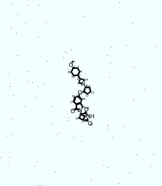 COC1CCC(C2CN([C@@H]3CCC[C@@H]3Oc3ccc4c(c3)CN(C35CC(C3)C(=O)NC5=O)C4=O)C2)CC1